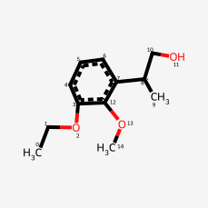 CCOc1cccc([C](C)CO)c1OC